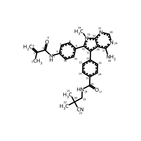 C=C(C)C(=O)Nc1ccc(-c2c(-c3ccc(C(=O)NCC(C)(C)C#N)cc3)c3c(N)ncnc3n2C)cc1